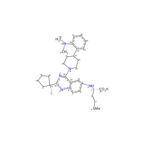 CSCC[C@H](Nc1ccc2nc(C3(F)CCCC3)nc(N3CCC(c4ccccc4N(C)C)CC3)c2c1)C(=O)O